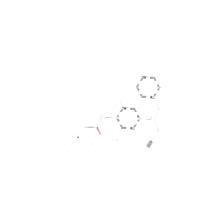 C#CCN(Cc1ccc(C)cc1)c1cc(C)c(NC(=O)CC(C)(C)C)c(N)c1F